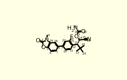 Cn1c(=O)oc2ccc(-c3ccc([C@@H](C(C#N)OC(N)=O)C(C)(C)C)c(F)c3)cc21